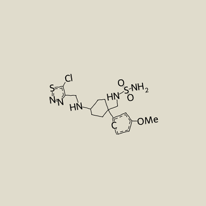 COc1cccc(C2(CNS(N)(=O)=O)CCC(NCc3nnsc3Cl)CC2)c1